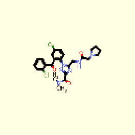 CN(C)C(=O)c1nc(CNC(=O)CN2CCCC2)n(-c2ccc(Cl)cc2C(=O)c2ccccc2Cl)n1